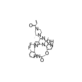 C=CC(=O)N1CCN(C2=NC(O)N3c4nc(c(F)cc42)-c2c(F)cccc2NC(=O)COc2ccnc(C(C)C)c23)[C@H](C)C1